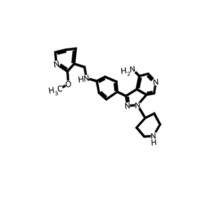 COc1ncccc1CNc1ccc(-c2nn(C3CCNCC3)c3cncc(N)c23)cc1